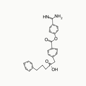 N=C(N)c1ccc(OC(=O)c2ccc(CP(=O)(O)CCCc3ccccc3)cc2)cc1